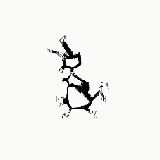 [2H]N1C(=O)CCC(N2Cc3c(c(C)c(C)c(C)c3N([2H])C)C2=O)C1=O